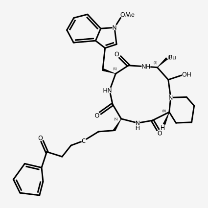 CCC(C)[C@@H]1NC(=O)[C@H](Cc2cn(OC)c3ccccc23)NC(=O)[C@H](CCCCCC(=O)c2ccccc2)NC(=O)[C@H]2CCCCN2C1O